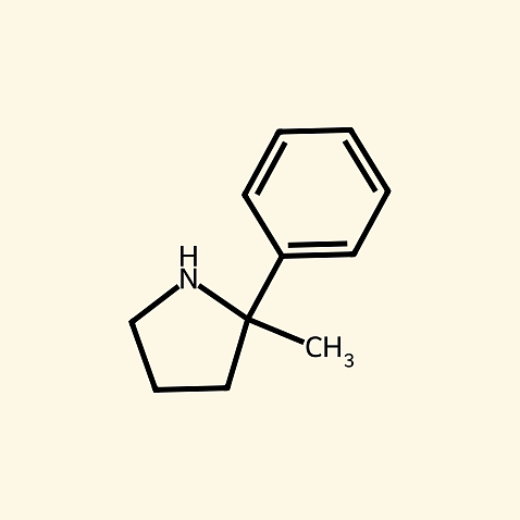 CC1(c2ccccc2)CCCN1